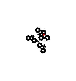 CC1(C)c2ccccc2-c2ccc(N(c3ccc4c(c3)C(C)(C)c3ccccc3-4)c3cc(C4(C)c5ccccc5-c5ccccc54)c4oc5ccccc5c4c3)cc21